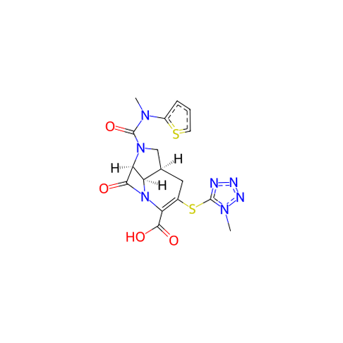 CN(C(=O)N1C[C@H]2CC(Sc3nnnn3C)=C(C(=O)O)N3C(=O)[C@@H]1[C@@H]23)c1cccs1